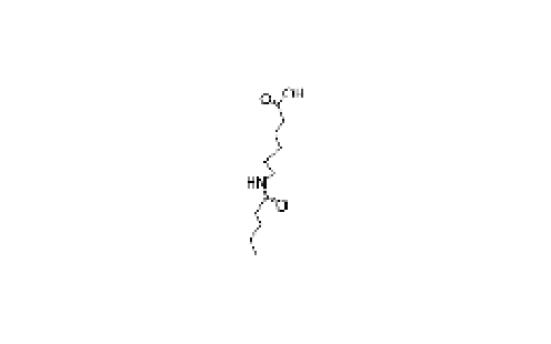 CCCCC(=O)NCCCCCC(=O)O